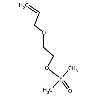 C=CCOCCOP(C)(C)=O